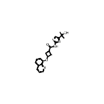 CC(C)(O)c1csc(NC(=O)C2CC(Oc3cccc4cccnc34)C2)n1